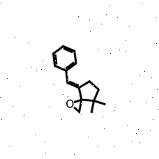 CC1(C)CCC(=Cc2ccccc2)C12CO2